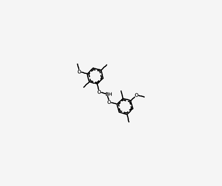 COc1cc(C)cc(OBOc2cc(C)cc(OC)c2C)c1C